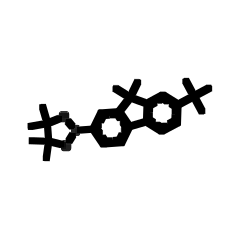 CC(C)(C)c1ccc2c(c1)C(C)(C)c1cc(B3OC(C)(C)C(C)(C)O3)ccc1-2